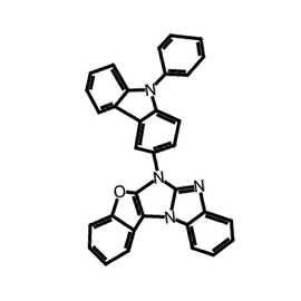 c1ccc(-n2c3ccccc3c3cc(-n4c5oc6ccccc6c5n5c6ccccc6nc45)ccc32)cc1